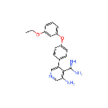 CCOc1cccc(Oc2ccc(-c3cncc(N)c3C(=N)N)cc2)c1